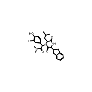 CC(C)CC1C(=O)NC(C2Cc3ccccc3C2)C(=O)N1C(C(=O)N(C)C)c1ccc(O)c(F)c1